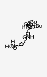 CC(C)(C)OC(=O)NN(CCc1ccc(NC(=O)CCCc2ccc(C=CC(=O)NO)cc2)cc1)C(=O)OC(C)(C)C